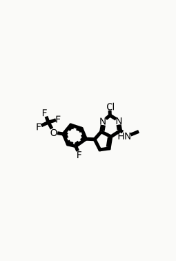 CNC1=NC(Cl)N=C2C1=CCC2c1ccc(OC(F)(F)F)cc1F